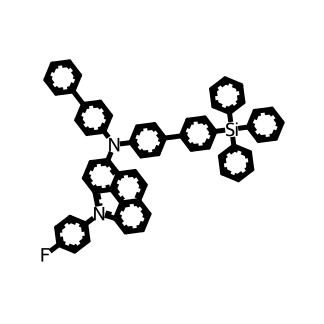 Fc1ccc(-n2c3cccc4ccc5c(N(c6ccc(-c7ccccc7)cc6)c6ccc(-c7ccc([Si](c8ccccc8)(c8ccccc8)c8ccccc8)cc7)cc6)ccc2c5c43)cc1